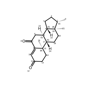 C[C@H]1CC[C@H]2[C@@H]3CC(=O)C4=CC(=O)CC[C@]4(C)[C@H]3CC[C@]12C